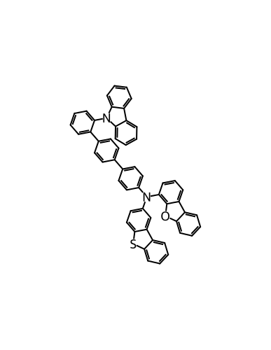 c1ccc(-n2c3ccccc3c3ccccc32)c(-c2ccc(-c3ccc(N(c4ccc5sc6ccccc6c5c4)c4cccc5c4oc4ccccc45)cc3)cc2)c1